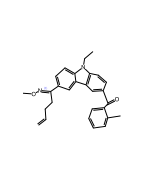 C=CCC/C(=N\OC)c1ccc2c(c1)c1cc(C(=O)c3ccccc3C)ccc1n2CC